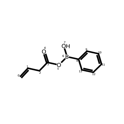 C=CCC(=O)OB(O)c1ccccc1